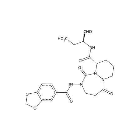 O=C[C@H](CC(=O)O)NC(=O)[C@@H]1CCCN2C(=O)CCN(NC(=O)c3ccc4c(c3)OCO4)C(=O)N12